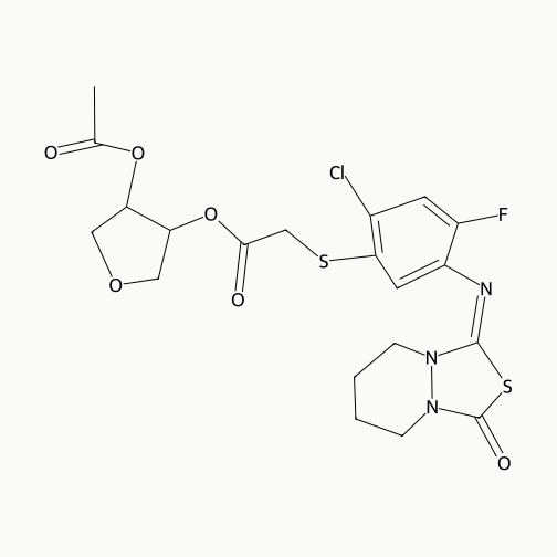 CC(=O)OC1COCC1OC(=O)CSc1cc(/N=c2/sc(=O)n3n2CCCC3)c(F)cc1Cl